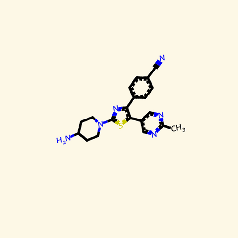 Cc1ncc(-c2sc(N3CCC(N)CC3)nc2-c2ccc(C#N)cc2)cn1